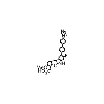 COc1ccc(C=C2C(=O)Nc3cc(F)c(-c4ccc(-c5ccc(-n6cncn6)cc5)cc4)cc32)cc1CC(=O)O